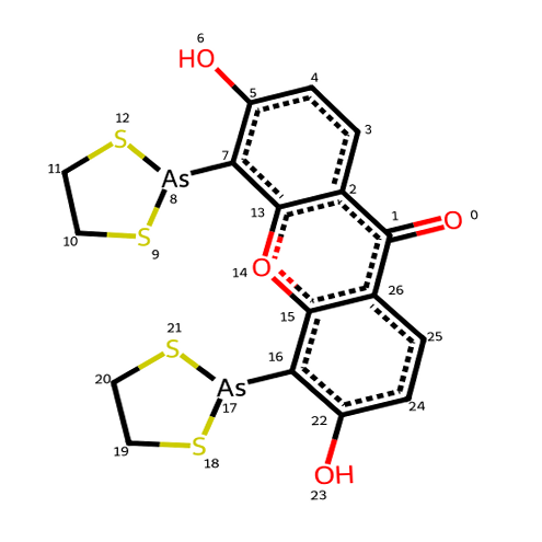 O=c1c2ccc(O)c([As]3SCCS3)c2oc2c([As]3SCCS3)c(O)ccc12